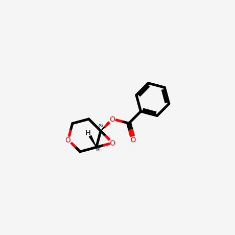 O=C(O[C@]12CCOC[C@H]1O2)c1ccccc1